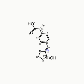 C[C@@H](C(=O)O)c1ccc(/C=C2\SCC[C@H]2O)cc1